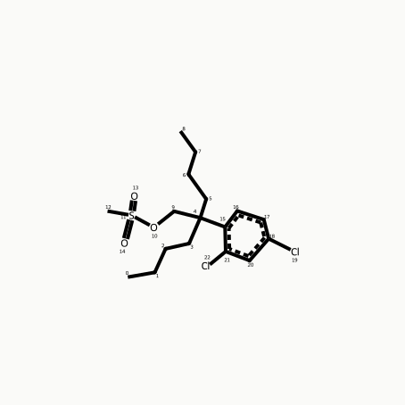 CCCCC(CCCC)(COS(C)(=O)=O)c1ccc(Cl)cc1Cl